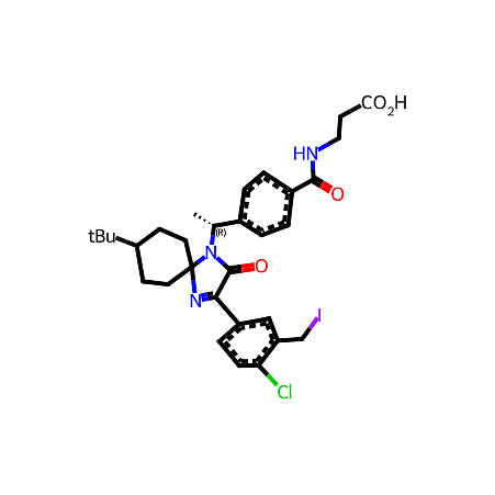 C[C@H](c1ccc(C(=O)NCCC(=O)O)cc1)N1C(=O)C(c2ccc(Cl)c(CI)c2)=NC12CCC(C(C)(C)C)CC2